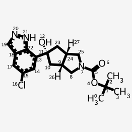 CC(C)(C)OC(=O)N1C[C@@H]2C[C@@](O)(c3cc(Cl)cc4cn[nH]c34)C[C@@H]2C1